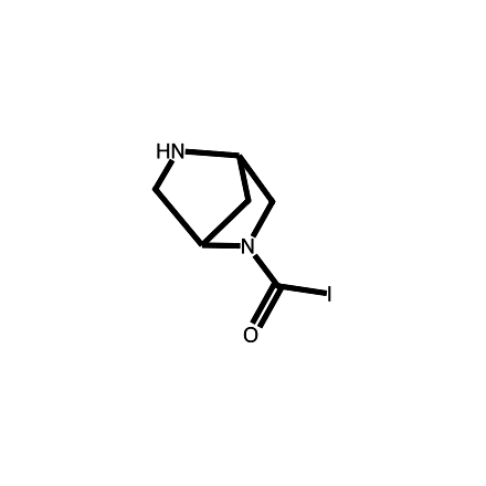 O=C(I)N1CC2CC1CN2